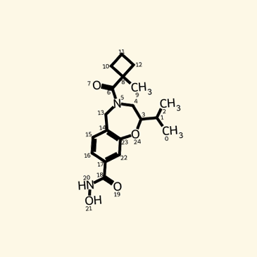 CC(C)C1CN(C(=O)C2(C)CCC2)Cc2ccc(C(=O)NO)cc2O1